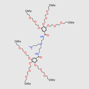 COCCOCCOCCOc1cc(C(=O)NCCCN(CCCNC(=O)c2cc(OCCOCCOCCOC)c(OCCOCCOCCOC)c(OCCOCCOCCOC)c2)CCCN(C)C)cc(OCCOCCOCCOC)c1OCCOCCOCCOC